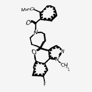 COc1ccccc1C(=O)N1CCC2(CC1)Oc1ccc(F)cc1-c1c2cnn1C